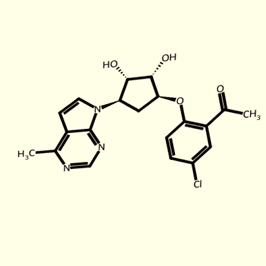 CC(=O)c1cc(Cl)ccc1O[C@H]1C[C@@H](n2ccc3c(C)ncnc32)[C@H](O)[C@@H]1O